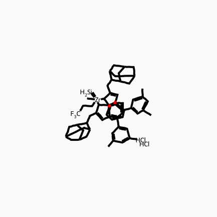 Cc1cc(C)cc(-c2cccc3c2C=C(CC2C4CC5CC(C4)CC2C5)[CH]3[Zr]([CH3])(=[SiH2])([CH2]CC(F)(F)F)[CH]2C(CC3C4CC5CC(C4)CC3C5)=Cc3c(-c4cc(C)cc(C)c4)cccc32)c1.Cl.Cl